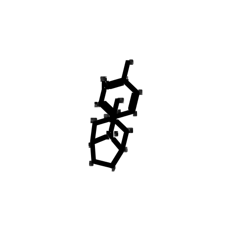 Cc1ccc(N2C3CCC2CN(C)C3)cn1